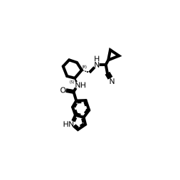 N#CC(NC[C@H]1CCCC[C@@H]1NC(=O)c1ccc2cc[nH]c2c1)C1CC1